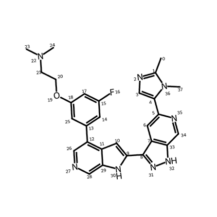 Cc1ncc(-c2cc3c(-c4cc5c(-c6cc(F)cc(OCCN(C)C)c6)cncc5[nH]4)n[nH]c3cn2)n1C